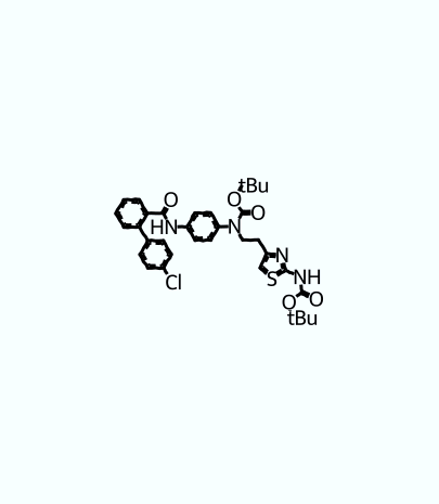 CC(C)(C)OC(=O)Nc1nc(CCN(C(=O)OC(C)(C)C)c2ccc(NC(=O)c3ccccc3-c3ccc(Cl)cc3)cc2)cs1